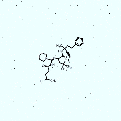 CC(C)COC(=O)NC(=NC(CC(C)(C)C)C(=O)NC(C)(C#N)SCc1ccccc1)N1CCOCC1